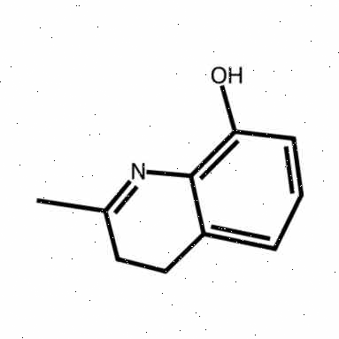 CC1=Nc2c(O)cccc2CC1